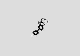 Cc1nc2cc(-c3ccc(F)cc3)ccc2s1